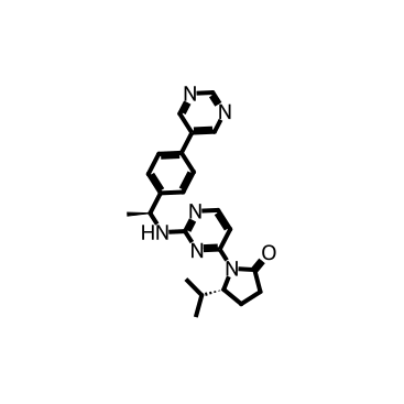 CC(C)[C@H]1CCC(=O)N1c1ccnc(N[C@@H](C)c2ccc(-c3cncnc3)cc2)n1